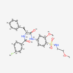 COCCNS(=O)(=O)c1ccc(NC(=O)[C@H](Cc2ccccc2)NC(=O)c2ccc(F)cc2)cc1OC